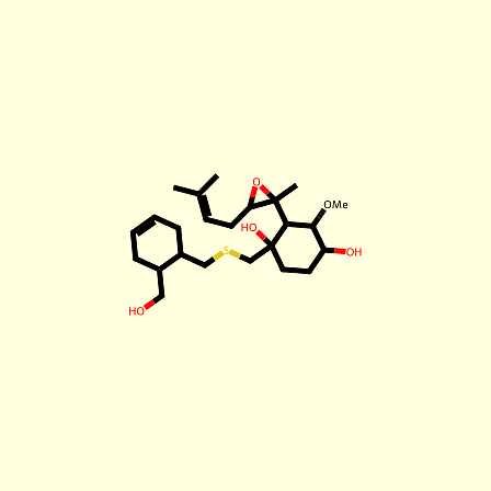 COC1C(O)CCC(O)(CSCC2CC=CCC2CO)C1C1(C)OC1CC=C(C)C